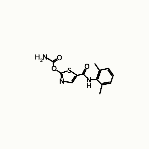 Cc1cccc(C)c1NC(=O)c1cnc(OC(N)=O)s1